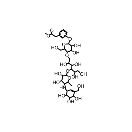 COC(=O)Cc1cccc(OC2OC(CO)C(OCC(O)C(O)C(OC3OC(C)C(NC4C=C(CO)C(O)C(O)C4O)C(O)C3O)C(O)CO)C(O)C2O)c1